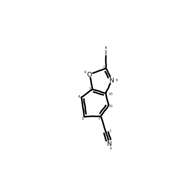 N#Cc1ccc2oc(I)nc2c1